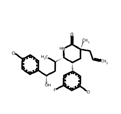 C=CC[C@@]1(C)C[C@H](c2cc(F)cc(Cl)c2)[C@H](C(C)C[C@H](O)c2ccc(Cl)cc2)NC1=O